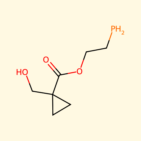 O=C(OCCP)C1(CO)CC1